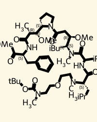 CC[C@H](C)[C@@H]([C@@H](CC(=O)N1CCC[C@H]1[C@H](OC)[C@@H](C)C(=O)N[C@@H](Cc1ccccc1)C(=O)OC)OC)N(C)C(=O)C(NC(=O)[C@H](CC(C)C)N(C)CCOCCN(C)C(=O)OC(C)(C)C)C(C)C